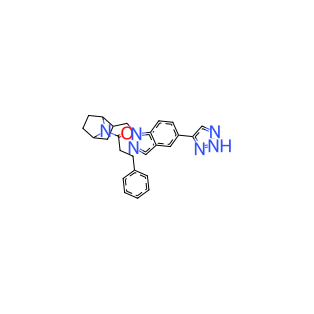 O=C(CCc1ccccc1)N1C2CCC1C(Cn1ncc3cc(-c4cn[nH]n4)ccc31)C2